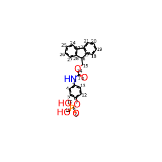 O=C(Nc1ccc(OP(=O)(O)O)cc1)OCC1c2ccccc2-c2ccccc21